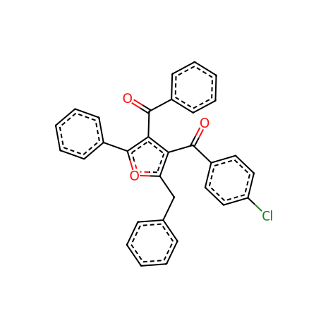 O=C(c1ccc(Cl)cc1)c1c(Cc2ccccc2)oc(-c2ccccc2)c1C(=O)c1ccccc1